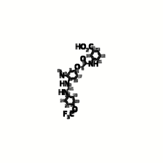 C=Nc1cc(OCC(=O)Nc2cccc(C(=O)O)c2)ccc1NCNc1ccc(OC(F)(F)F)cc1